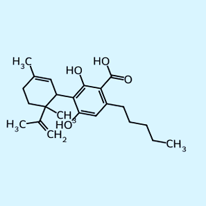 C=C(C)C1(C)CCC(C)=CC1c1c(O)cc(CCCCC)c(C(=O)O)c1O